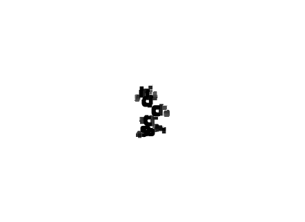 [Cl-].[Cl-].[Cl-].[In].[Sb+3]